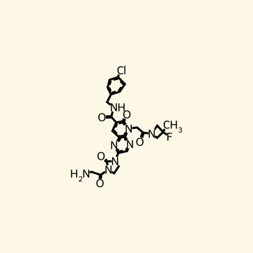 CC1(F)CN(C(=O)Cn2c(=O)c(C(=O)NCc3ccc(Cl)cc3)cc3nc(N4CCN(C(=O)CN)C4=O)cnc32)C1